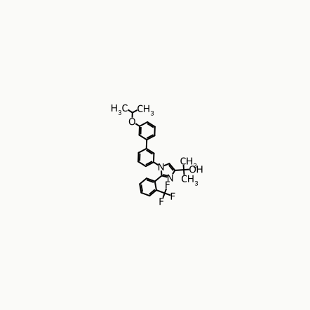 CC(C)Oc1cccc(-c2cccc(-n3cc(C(C)(C)O)nc3-c3ccccc3C(F)(F)F)c2)c1